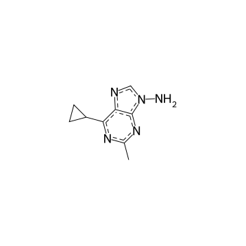 Cc1nc(C2CC2)c2ncn(N)c2n1